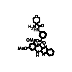 COc1cc(Nc2nc3ccccc3nc2NS(=O)(=O)c2cccc(NC(=O)C3(N)CCOCC3)c2)cc(OC)c1